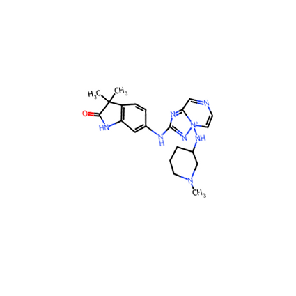 CN1CCCC(N[N+]23C=CN=CC2=NC(Nc2ccc4c(c2)NC(=O)C4(C)C)=N3)C1